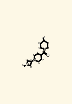 CC1CCN(C(=O)C2CCN(C3CN(C)C3)CC2)CC1